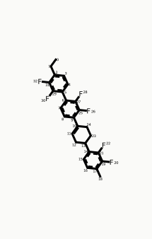 CCc1ccc(-c2ccc(C3=CCC(c4ccc(C)c(F)c4F)CC3)c(F)c2F)c(F)c1F